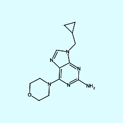 Nc1nc(N2CCOCC2)c2ncn(CC3[CH]C3)c2n1